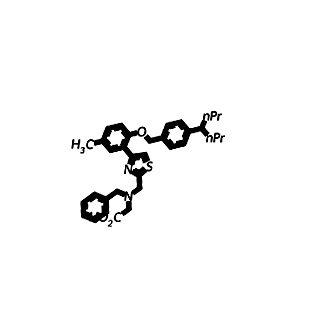 CCCC(CCC)c1ccc(COc2ccc(C)cc2-c2csc(CN(CC(=O)O)Cc3ccccc3)n2)cc1